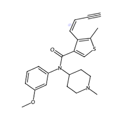 C#C/C=C\c1c(C(=O)N(c2cccc(OC)c2)C2CCN(C)CC2)csc1C